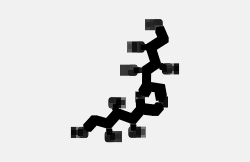 OC[C@@H](O)[C@H](O)[C@@H](O)c1cncc([C@H](O)[C@@H](O)[C@H](O)CO)n1